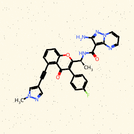 C[C@H](NC(=O)c1c(N)nn2cccnc12)c1oc2cccc(C#Cc3cnn(C)c3)c2c(=O)c1-c1ccc(F)cc1